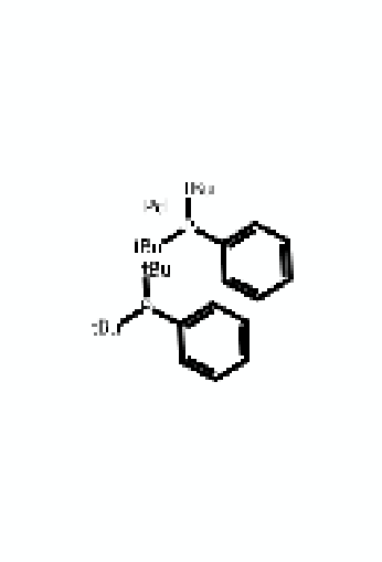 CC(C)(C)P(c1ccccc1)C(C)(C)C.CC(C)(C)P(c1ccccc1)C(C)(C)C.[Pd]